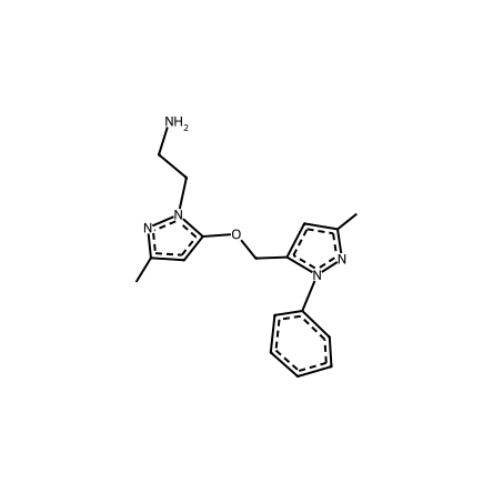 Cc1cc(OCc2cc(C)nn2-c2ccccc2)n(CCN)n1